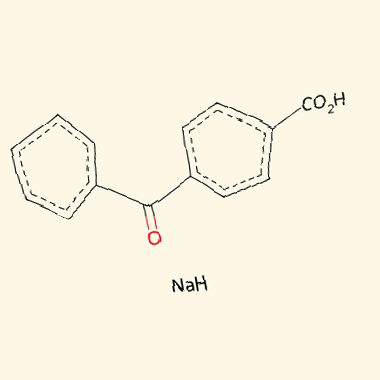 O=C(O)c1ccc(C(=O)c2ccccc2)cc1.[NaH]